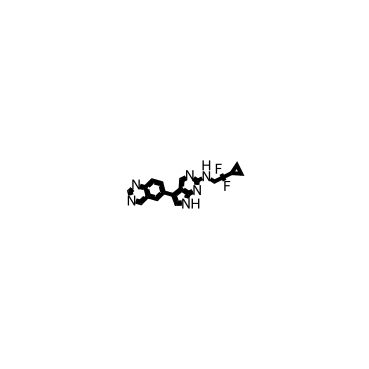 FC(F)(CNc1ncc2c(-c3ccc4ncncc4c3)c[nH]c2n1)C1CC1